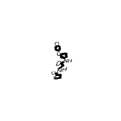 O=C(CCNC(=O)c1cccs1)Nc1cccc(Oc2ccc(Cl)cc2)c1